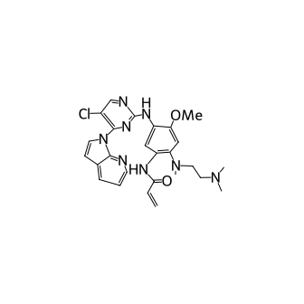 C=CC(=O)Nc1cc(Nc2ncc(Cl)c(-n3ccc4cccnc43)n2)c(OC)cc1N(C)CCN(C)C